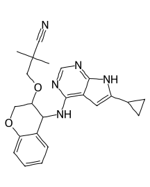 CC(C)(C#N)COC1COc2ccccc2C1Nc1ncnc2[nH]c(C3CC3)cc12